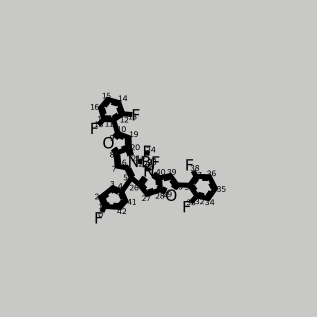 Fc1ccc(C2=C3C=c4oc(-c5c(F)cccc5F)cc4=[N+]3[B-](F)(F)n3c2cc2oc(-c4c(F)cccc4F)cc23)cc1